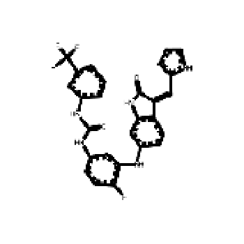 O=C(Nc1cccc(C(F)(F)F)c1)Nc1ccc(F)c(Nc2ccc3c(c2)NC(=O)C3=Cc2ccc[nH]2)c1